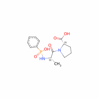 C[C@H](NP(=O)(O)c1ccccc1)C(=O)N1CCC[C@H]1C(=O)O